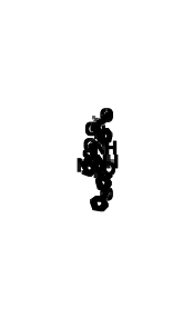 COC[C@@H](C)C(=O)N1CCC[C@@H](NC(=O)c2sc3nccc4c3c2NC(=O)N4c2ccc(Oc3ccccc3)cc2C)C1